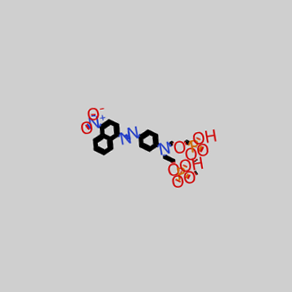 COP(=O)(O)COCN(CCOP(=O)(O)OC)c1ccc(N=Nc2ccc([N+](=O)[O-])c3ccccc23)cc1